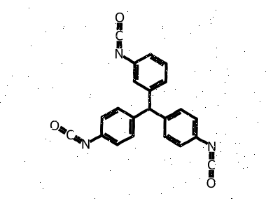 O=C=Nc1ccc(C(c2ccc(N=C=O)cc2)c2cccc(N=C=O)c2)cc1